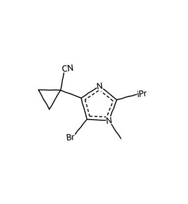 CC(C)c1nc(C2(C#N)CC2)c(Br)n1C